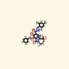 C[C@H]1CC[C@]2(CO2)[C@H]2CN1C(=O)c1c(OCc3ccccc3)c(=O)c(C(=O)NCc3ccc(F)cc3F)cn12